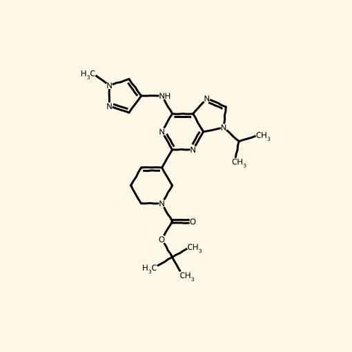 CC(C)n1cnc2c(Nc3cnn(C)c3)nc(C3=CCCN(C(=O)OC(C)(C)C)C3)nc21